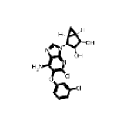 Nc1c(Oc2cccc(Cl)c2)c(Cl)nc2c1ncn2[C@H]1[C@H](O)[C@H](O)[C@@H]2C[C@@H]21